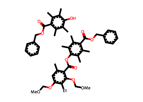 CCc1c(OCOC)cc(C)c(C(=O)Oc2c(C)c(C)c(C(=O)OCc3ccccc3)c(C)c2C)c1OCOC.Cc1c(C)c(C(=O)OCc2ccccc2)c(C)c(C)c1O